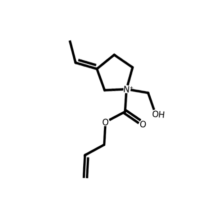 C=CCOC(=O)[N+]1(CO)CC/C(=C\C)C1